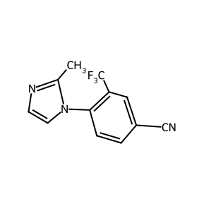 Cc1nccn1-c1ccc(C#N)cc1C(F)(F)F